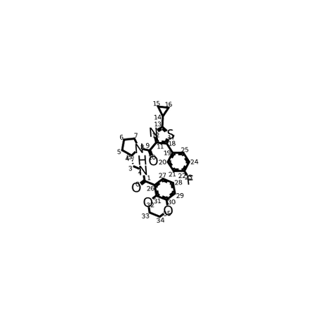 O=C(NC[C@@H]1CCCN1C(=O)c1nc(C2CC2)sc1-c1ccc(F)cc1)c1cccc2c1OCCO2